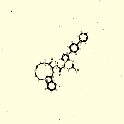 O=C(O)C[C@H](C(=O)N[C@H]1Cc2cn(c3ccccc23)CCOCCNC1=O)n1ccc(-c2ccc(-c3ccccn3)cc2)c1